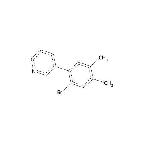 Cc1cc(Br)c(-c2cccnc2)cc1C